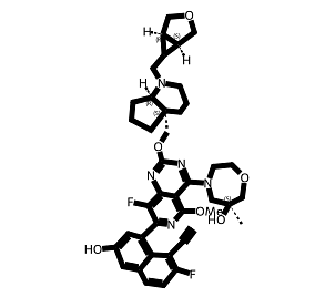 C#Cc1c(F)ccc2cc(O)cc(-c3nc(OC)c4c(N5CCOC[C@@](C)(O)C5)nc(OC[C@]56CCC[C@H]5N(CC5[C@H]7COC[C@@H]57)CCC6)nc4c3F)c12